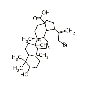 C=C(CBr)C1CCC2(C(=O)O)CC[C@]3(C)C(CCC4C5(C)CCC(O)C(C)(C)C5CCC43C)C12